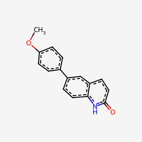 COc1ccc(-c2ccc3[nH]c(=O)ccc3c2)cc1